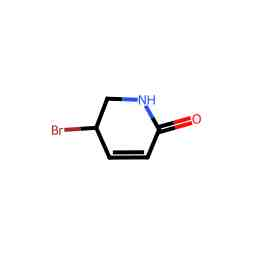 O=C1C=CC(Br)CN1